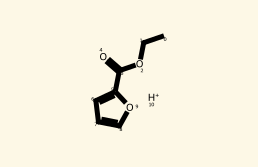 CCOC(=O)c1ccco1.[H+]